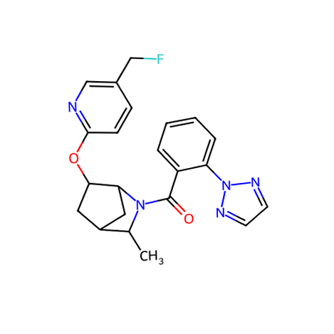 CC1C2CC(Oc3ccc(CF)cn3)C(C2)N1C(=O)c1ccccc1-n1nccn1